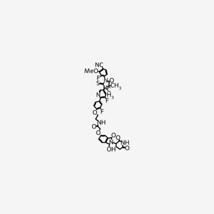 COc1c(C#N)ccc(N2C(=O)C(C)(C)N(c3cnc(-c4ccc(OCCNC(=O)COc5ccc6c(c5)C(=O)N(C5CCC(=O)NC5=O)C6O)c(F)c4)c(F)c3)C2=S)c1F